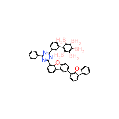 Bc1c(B)c(B)c(-c2cccc(-c3nc(-c4ccccc4)nc(-c4cccc5c4oc4ccc(-c6cccc7c6oc6ccccc67)cc45)n3)c2)c(B)c1B